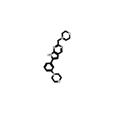 c1cc(-c2cc3cnc(CN4CCOCC4)nc3[nH]2)cc(N2CCOCC2)c1